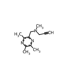 C#CCN(C)Cc1nc(C)c(C)nc1C